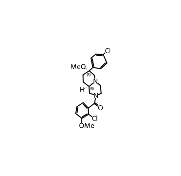 COc1cccc(C(=O)N2CCN3C[C@](OC)(c4ccc(Cl)cc4)CC[C@@H]3C2)c1Cl